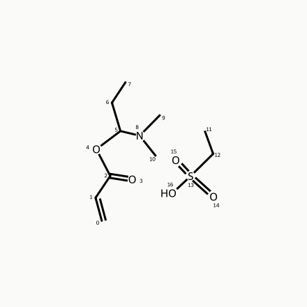 C=CC(=O)OC(CC)N(C)C.CCS(=O)(=O)O